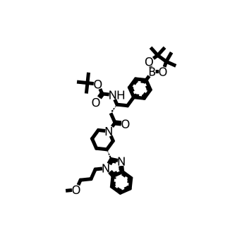 COCCCn1c([C@@H]2CCCN(C(=O)C[C@@H](Cc3ccc(B4OC(C)(C)C(C)(C)O4)cc3)NC(=O)OC(C)(C)C)C2)nc2ccccc21